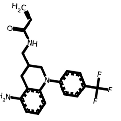 C=CC(=O)NCC1Cc2c(N)cccc2N(c2ccc(C(F)(F)F)cc2)C1